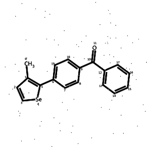 Cc1cc[se]c1-c1ccc(C(=O)c2ccccc2)cc1